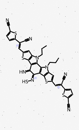 CCCn1c2c(c3sc(/C=C(\C#N)c4ccc(C#N)s4)cc31)C(=N)/C(=N\S)c1c-2n(CCC)c2cc(/C=C(\C#N)c3ccc(C#N)s3)sc12